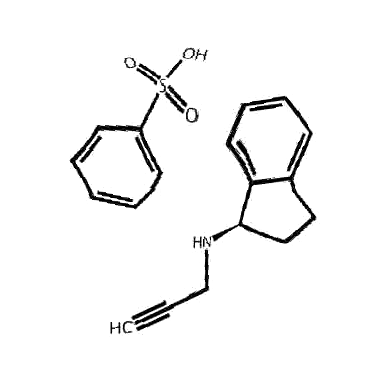 C#CCN[C@@H]1CCc2ccccc21.O=S(=O)(O)c1ccccc1